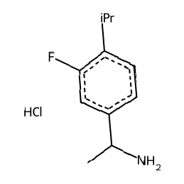 CC(C)c1ccc(C(C)N)cc1F.Cl